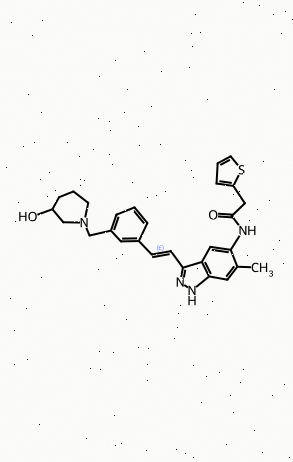 Cc1cc2[nH]nc(/C=C/c3cccc(CN4CCCC(O)C4)c3)c2cc1NC(=O)Cc1cccs1